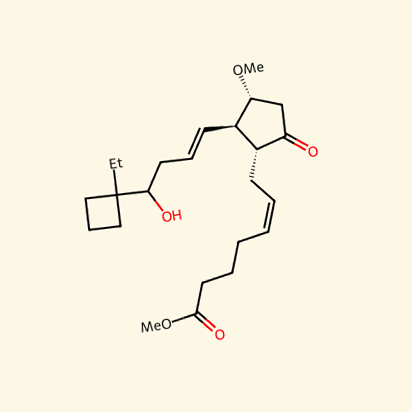 CCC1(C(O)C/C=C/[C@H]2[C@H](OC)CC(=O)[C@@H]2C/C=C\CCCC(=O)OC)CCC1